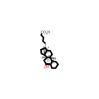 C[C@]12CC[C@H]3[C@@H](CC(O)=C4CCCC[C@@]43C)[C@@H]1CC[C@@H]2CCCCC(=O)O